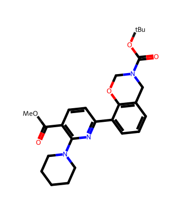 COC(=O)c1ccc(-c2cccc3c2OCN(C(=O)OC(C)(C)C)C3)nc1N1CCCCC1